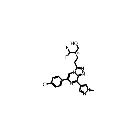 Cn1cc(-c2nc(-c3ccc(Cl)cc3)cn3c(CC[C@H](CO)C(F)F)nnc23)cn1